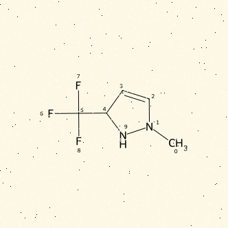 CN1C=[C]C(C(F)(F)F)N1